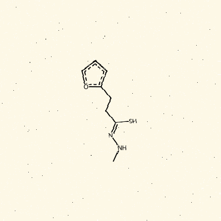 CN/N=C(\S)CCc1ccco1